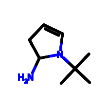 CC(C)(C)N1C=CCC1N